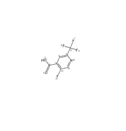 O=C(O)c1cc(C(F)(F)F)ncc1F